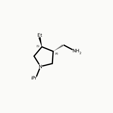 CC[C@@H]1CN(C(C)C)C[C@H]1CN